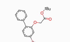 CC(C)(C)OC(=O)COc1cc(Br)ccc1-c1ccccc1